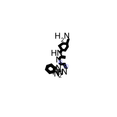 C=C(/N=C(\C=C/N)n1nnc2ccccc21)NC1CCC(CN)CC1